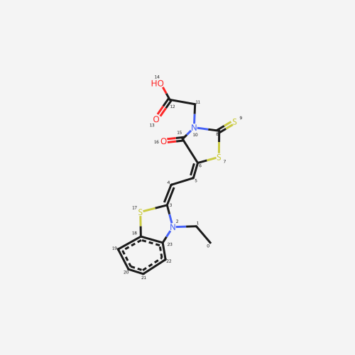 CCN1C(=C/C=C2/SC(=S)N(CC(=O)O)C2=O)Sc2ccccc21